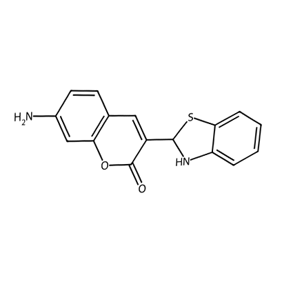 Nc1ccc2cc(C3Nc4ccccc4S3)c(=O)oc2c1